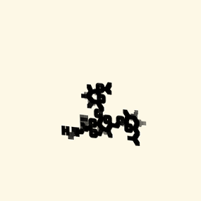 CC(C)CC1O[C@@H](OCC2O[C@@H](OCC3O[C@@H](OC(C)C)C(C)[C@H](C)[C@@H]3C)C(OC(=O)NCN)[C@H](C)[C@@H]2C)C(C)[C@H](C)[C@@H]1C